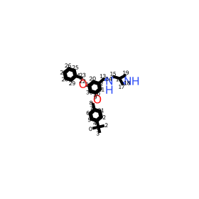 CC(C)(C)c1ccc(COc2cc(CNCC3CNC3)cc(OCc3ccccc3)c2)cc1